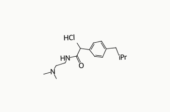 CC(C)Cc1ccc(C(C)C(=O)NCCN(C)C)cc1.Cl